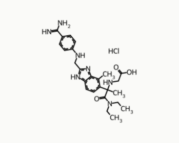 CCN(CC)C(=O)C(C)(NCC(=O)O)c1ccc2[nH]c(CNc3ccc(C(=N)N)cc3)nc2c1C.Cl